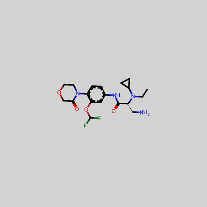 CCN(C1CC1)[C@H](CN)C(=O)Nc1ccc(N2CCOCC2=O)c(OC(F)F)c1